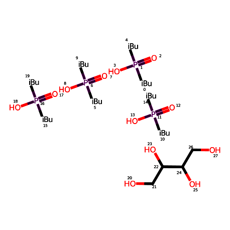 CCC(C)P(=O)(O)C(C)CC.CCC(C)P(=O)(O)C(C)CC.CCC(C)P(=O)(O)C(C)CC.CCC(C)P(=O)(O)C(C)CC.OCC(O)C(O)CO